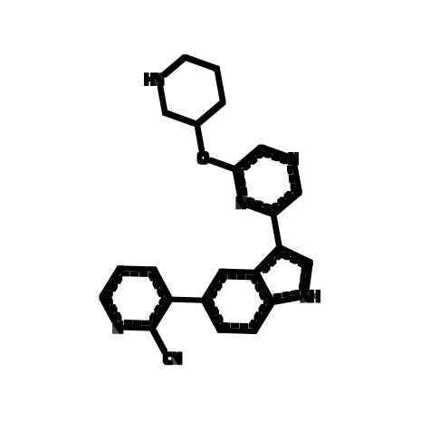 N#Cc1ncccc1-c1ccc2[nH]cc(-c3cncc(OC4CCCNC4)n3)c2c1